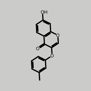 Cc1cccc(Oc2coc3cc(O)ccc3c2=O)c1